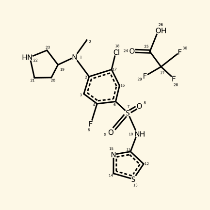 CN(c1cc(F)c(S(=O)(=O)Nc2cscn2)cc1Cl)C1CCNC1.O=C(O)C(F)(F)F